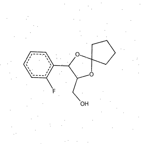 OCC1OC2(CCCC2)OC1c1ccccc1F